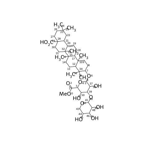 COC(=O)C1OC(OC2CCC3(C)C(CCC4(C)C3CC=C3C5CC(C)(C)CCC5(C(=O)O)CCC34C)C2(C)C)C(O)C(OC2OCC(O)C(O)C2O)C1O